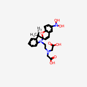 CC1(C)c2ccccc2N(CCN(CC(=O)O)CC(=O)O)C12C=Cc1cc(N(O)O)ccc1O2